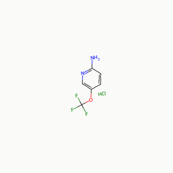 Cl.Nc1ccc(OC(F)(F)F)cn1